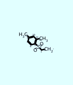 [CH2]CS(=O)(=O)c1ccc(C)cc1C